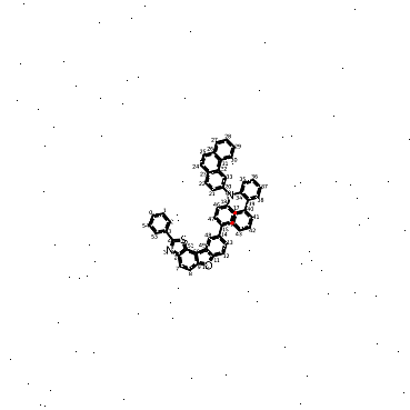 c1ccc(-c2nc3ccc4oc5ccc(-c6ccc(N(c7ccc8ccc9ccccc9c8c7)c7ccccc7-c7ccccc7)cc6)cc5c4c3s2)cc1